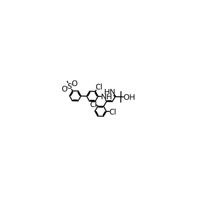 CC(C)(O)C(=N)/C=C(\Nc1ccc(-c2cccc(S(C)(=O)=O)c2)cc1Cl)c1c(Cl)cccc1Cl